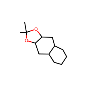 CC1(C)OC2CC3CCCCC3CC2O1